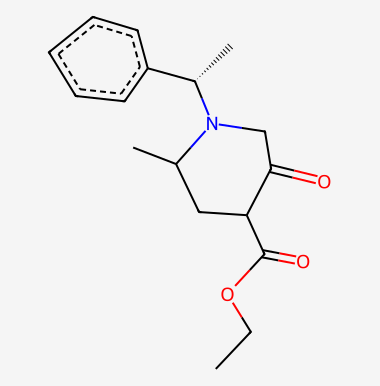 CCOC(=O)C1CC(C)N([C@@H](C)c2ccccc2)CC1=O